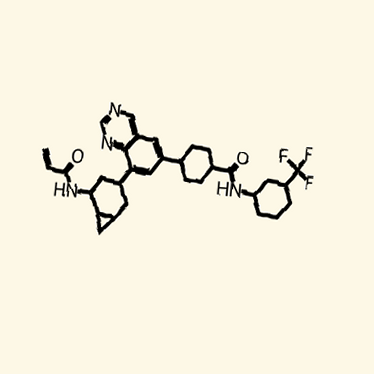 C=CC(=O)NC1CC(c2cc(C3CCC(C(=O)NC4CCCC(C(F)(F)F)C4)CC3)cc3cncnc23)CC2CC21